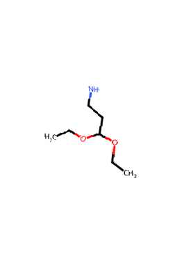 CCOC(CC[NH])OCC